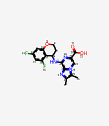 Cc1nc2c(NC3CCOc4cc(F)cc(F)c43)nc(C(=O)O)cn2c1C